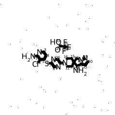 Nc1nccc(Sc2cnc(N3CCC4(CC3)Cn3nccc3[C@H]4N)cn2)c1Cl.O=C(O)C(F)(F)F